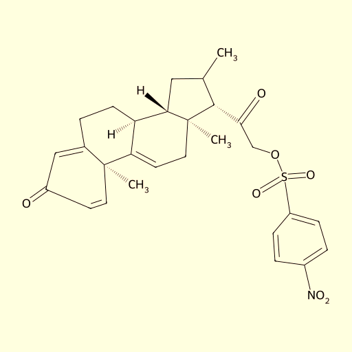 CC1C[C@H]2[C@@H]3CCC4=CC(=O)C=C[C@]4(C)C3=CC[C@]2(C)[C@H]1C(=O)COS(=O)(=O)c1ccc([N+](=O)[O-])cc1